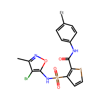 CCc1ccc(NC(=O)c2sccc2S(=O)(=O)Nc2onc(C)c2Br)cc1